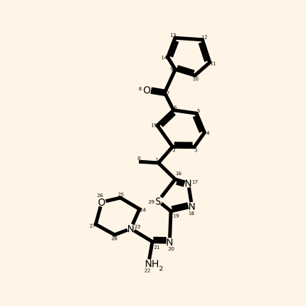 CC(c1cccc(C(=O)c2ccccc2)c1)c1nnc(N=C(N)N2CCOCC2)s1